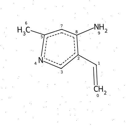 C=Cc1cnc(C)cc1N